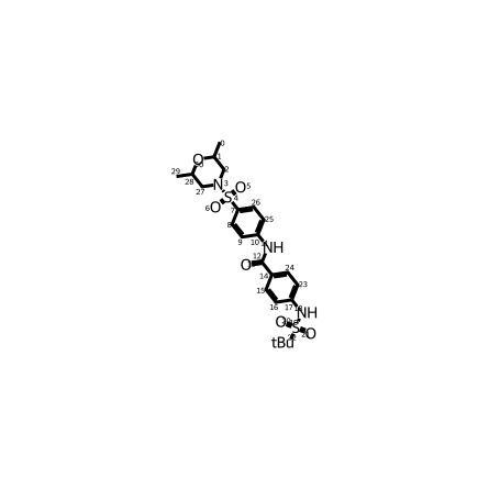 CC1CN(S(=O)(=O)c2ccc(NC(=O)c3ccc(NS(=O)(=O)C(C)(C)C)cc3)cc2)CC(C)O1